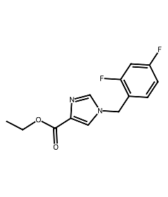 CCOC(=O)c1cn(Cc2ccc(F)cc2F)cn1